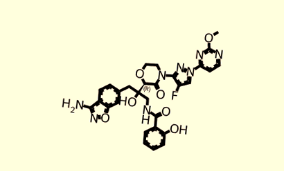 COc1nccc(-n2cc(F)c(N3CCO[C@H](C(O)(CNC(=O)c4ccccc4O)Cc4ccc5c(N)noc5c4)C3=O)n2)n1